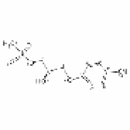 CS(=O)(=O)OC[C@H](O)COc1ccc(C#N)cc1